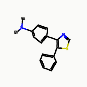 CCN(CC)c1ccc(-c2n[c]sc2-c2ccccc2)cc1